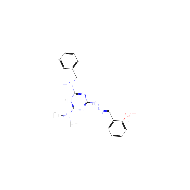 CCN(CC)c1nc(NCc2ccccc2)nc(NN=Cc2ccccc2O)n1